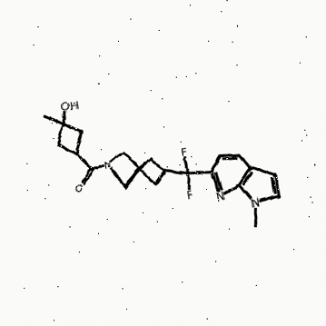 Cn1ccc2ccc(C(F)(F)C3CC4(C3)CN(C(=O)C3CC(C)(O)C3)C4)nc21